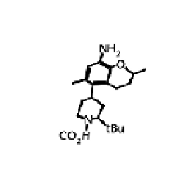 Cc1cc(N)c2c(c1C1CCN(C(=O)O)C(C(C)(C)C)C1)CCC(C)O2